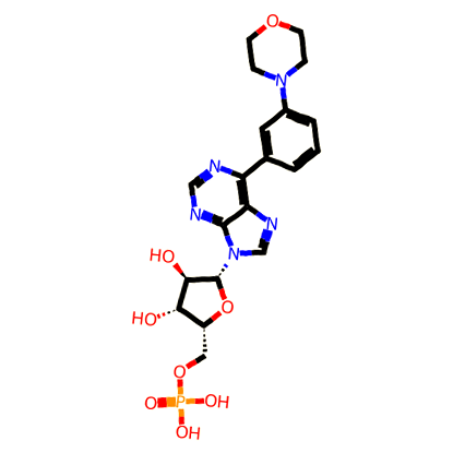 O=P(O)(O)OC[C@H]1O[C@@H](n2cnc3c(-c4cccc(N5CCOCC5)c4)ncnc32)[C@H](O)[C@H]1O